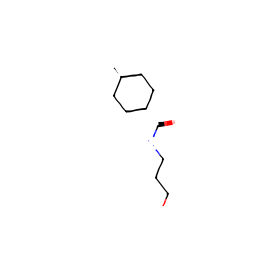 C[C@H]1CC[C@H](C(=O)NCCCO)CC1